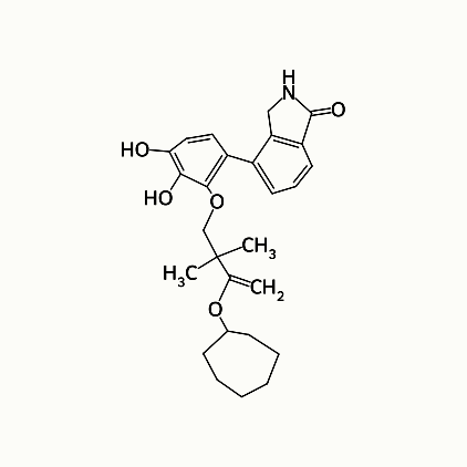 C=C(OC1CCCCCC1)C(C)(C)COc1c(-c2cccc3c2CNC3=O)ccc(O)c1O